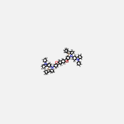 c1ccc(-n2c3ccccc3c3cc(N(c4ccc5c(c4)oc4cc6cc7c(cc6cc45)oc4cc(N(c5ccc6c(c5)c5ccccc5n6-c5ccccc5)c5cccc6c5sc5ccccc56)ccc47)c4cccc5c4sc4ccccc45)ccc32)cc1